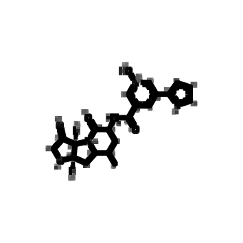 CC1C[C@H](NC(=O)c2cc(-c3cccs3)c[n+](O)c2)C(=O)N2C1C[C@H]1OCC(=O)[C@H]12